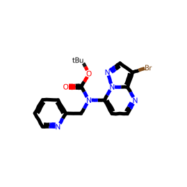 CC(C)(C)OC(=O)N(Cc1ccccn1)c1ccnc2c(Br)cnn12